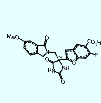 COc1ccc2c(c1)C(=O)N(C[C@@]1(c3cc4cc(C(=O)O)c(F)cc4o3)NC(=O)NC1=O)C2